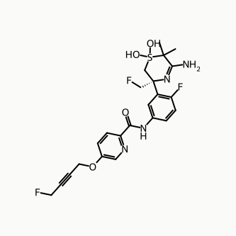 CC1(C)C(N)=N[C@@](CF)(c2cc(NC(=O)c3ccc(OCC#CCF)cn3)ccc2F)CS1(O)O